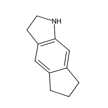 c1c2c(cc3c1CCN3)CCC2